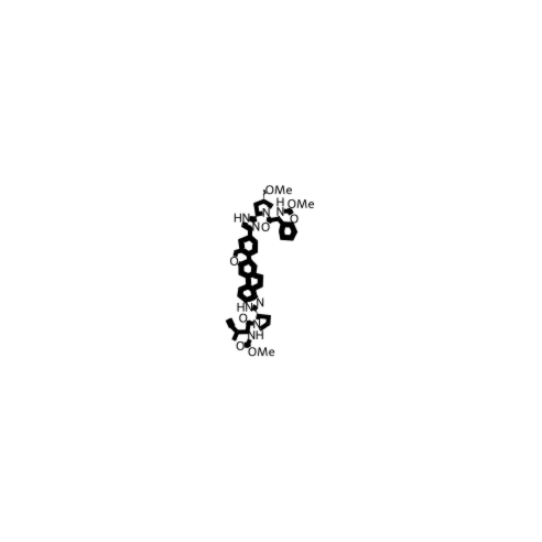 C#CC(C)[C@H](NC(=O)OC)C(=O)N1CCC[C@H]1c1nc2c(ccc3c4cc5c(cc4ccc32)-c2ccc(-c3c[nH]c([C@@H]4C[C@H](COC)CN4C(=O)[C@H](NC(=O)OC)c4ccccc4)n3)cc2CO5)[nH]1